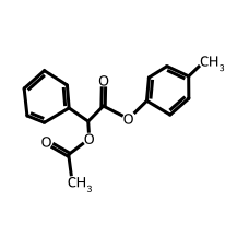 CC(=O)OC(C(=O)Oc1ccc(C)cc1)c1ccccc1